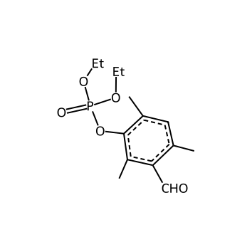 CCOP(=O)(OCC)Oc1c(C)cc(C)c(C=O)c1C